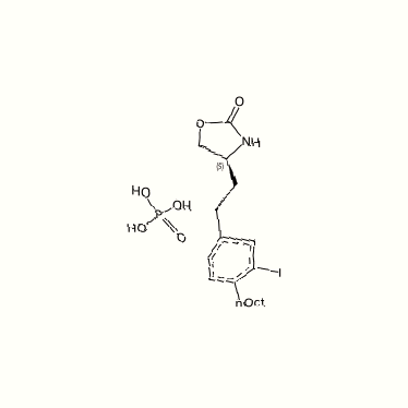 CCCCCCCCc1ccc(CC[C@H]2COC(=O)N2)cc1I.O=P(O)(O)O